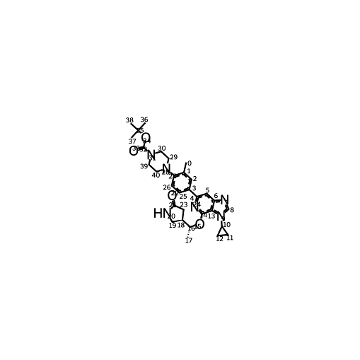 Cc1cc(-c2cc3ncn(C4CC4)c3c(O[C@H](C)[C@H]3CNC(=O)C3)n2)ccc1N1CCN(C(=O)OC(C)(C)C)CC1